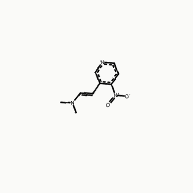 CN(C)/C=C/c1cnccc1[N+](=O)[O-]